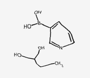 CCC(O)O.OB(O)c1cccnc1